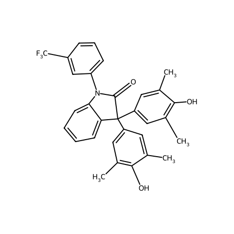 Cc1cc(C2(c3cc(C)c(O)c(C)c3)C(=O)N(c3cccc(C(F)(F)F)c3)c3ccccc32)cc(C)c1O